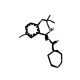 Cc1ccc2c(c1)C(=CC(=O)C1CCCCC1)NC(C)(C)C2